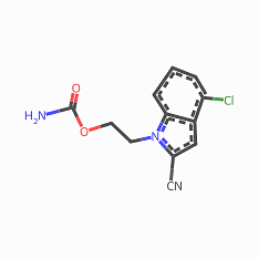 N#Cc1cc2c(Cl)cccc2n1CCOC(N)=O